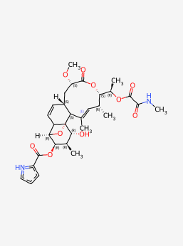 CNC(=O)C(=O)O[C@H](C)[C@H]1OC(=O)[C@@H](OC)C[C@H]2C=CC3C4[C@H](O)[C@@H](C)[C@@H](OC(=O)c5ccc[nH]5)[C@@H]3O[C@]42/C(C)=C/[C@H]1C